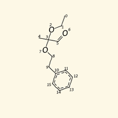 CCOC(C)(C=O)OCCc1ccccc1